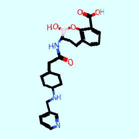 O=C(CC1CCC(NCc2cccnc2)CC1)NC1Cc2cccc(C(=O)O)c2OB1O